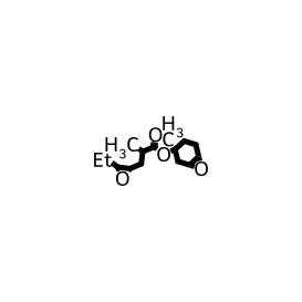 CCC1OC1CC(C)C(=O)OC1(C)CCC2OC2C1